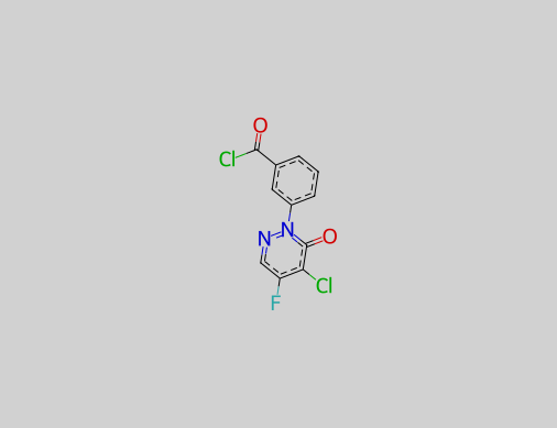 O=C(Cl)c1cccc(-n2ncc(F)c(Cl)c2=O)c1